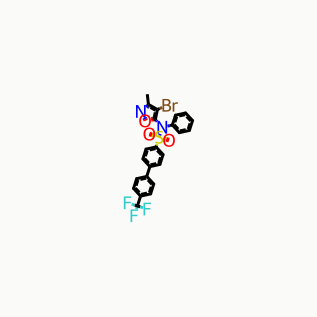 Cc1noc(N(c2ccccc2)S(=O)(=O)c2ccc(-c3ccc(C(F)(F)F)cc3)cc2)c1Br